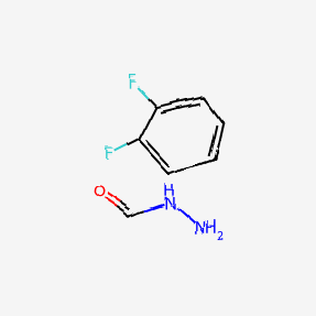 Fc1ccccc1F.NNC=O